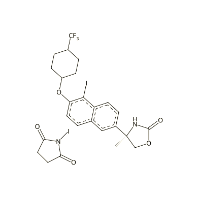 C[C@@]1(c2ccc3c(I)c(OC4CCC(C(F)(F)F)CC4)ccc3c2)COC(=O)N1.O=C1CCC(=O)N1I